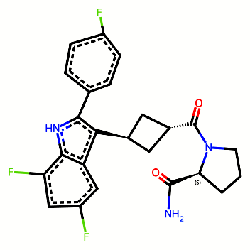 NC(=O)[C@@H]1CCCN1C(=O)[C@H]1C[C@H](c2c(-c3ccc(F)cc3)[nH]c3c(F)cc(F)cc32)C1